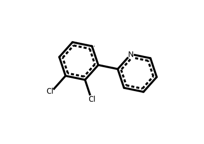 Clc1cc[c]c(-c2ccccn2)c1Cl